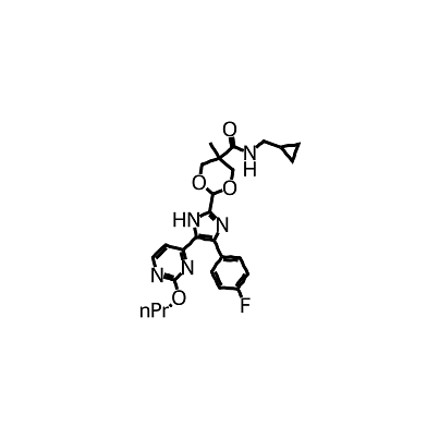 CCCOc1nccc(-c2[nH]c(C3OCC(C)(C(=O)NCC4CC4)CO3)nc2-c2ccc(F)cc2)n1